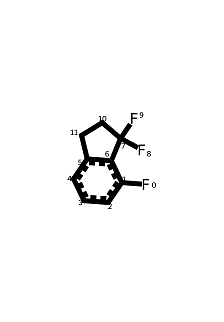 Fc1cccc2c1C(F)(F)CC2